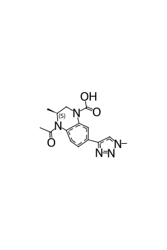 CC(=O)N1c2ccc(-c3cn(C)nn3)cc2N(C(=O)O)C[C@@H]1C